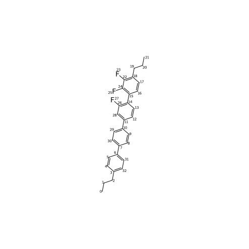 CCCc1ccc(-c2ccc(-c3ccc(-c4ccc(CCC)c(F)c4F)c(F)c3)cc2)cc1